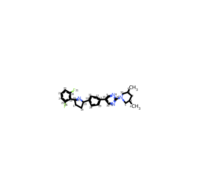 CC1CC(C)CN(c2ncc(-c3ccc(C4CCC(c5c(F)cccc5F)=N4)cc3)cn2)C1